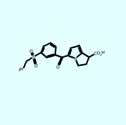 CC(C)CS(=O)(=O)c1cccc(C(=O)c2ccc3n2CCC3C(=O)O)c1